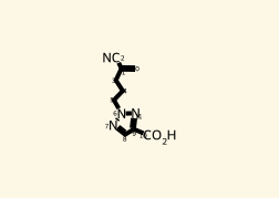 C=C(C#N)CCCn1ncc(C(=O)O)n1